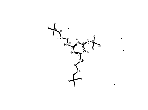 CC(C)(C)COCNc1nc(NCOCC(C)(C)C)nc(NC(C)(C)C)n1